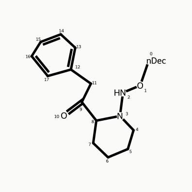 CCCCCCCCCCONN1CCCCC1C(=O)Cc1ccccc1